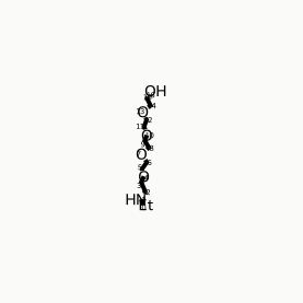 CCNCCOCCOCCOCCOCCO